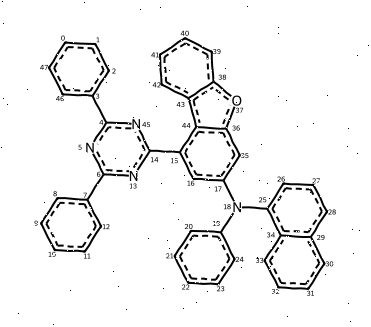 c1ccc(-c2nc(-c3ccccc3)nc(-c3cc(N(c4ccccc4)c4cccc5ccccc45)cc4oc5ccccc5c34)n2)cc1